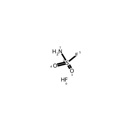 F.NS(=O)(=O)F